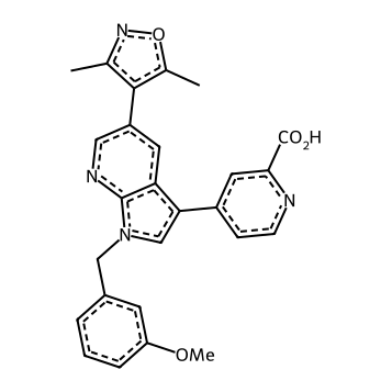 COc1cccc(Cn2cc(-c3ccnc(C(=O)O)c3)c3cc(-c4c(C)noc4C)cnc32)c1